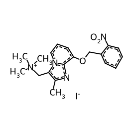 Cc1nc2c(OCc3ccccc3[N+](=O)[O-])cccn2c1C[N+](C)(C)C.[I-]